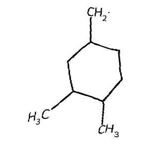 [CH2]C1CCC(C)C(C)C1